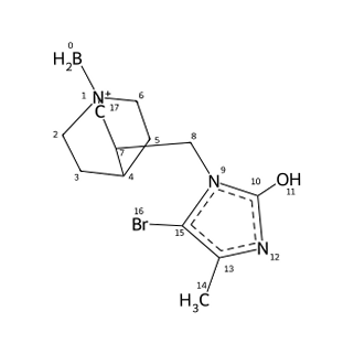 B[N+]12CCC(CC1)C(Cn1c(O)nc(C)c1Br)C2